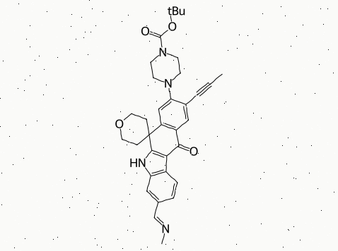 CC#Cc1cc2c(cc1N1CCN(C(=O)OC(C)(C)C)CC1)C1(CCOCC1)c1[nH]c3cc(/C=N/C)ccc3c1C2=O